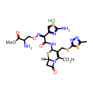 COC(=O)C(N)CO/N=C(\C(=O)NC1S[C@H]2CC(=O)N2C(C(=O)O)=C1CSc1nnc(C)s1)c1csc(N)n1.Cl